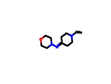 CON1CCC(=NN2CCOCC2)CC1